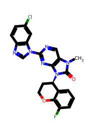 Cn1c(=O)n([C@@H]2CCOc3c(F)cccc32)c2nc(-n3cnc4ccc(Cl)cc43)ncc21